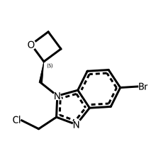 ClCc1nc2cc(Br)ccc2n1C[C@@H]1CCO1